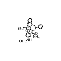 CC(C)(C)CC(=O)NN1C(=O)C(N(C(N)=O)c2cccc(NC=O)c2)CC(c2ccccc2)CC1c1ccccc1